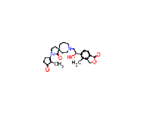 CC1=C(N2CCC3(CCCN(C[C@H](O)c4ccc5c(c4C)COC5=O)CC3)C2=O)CCC1=O